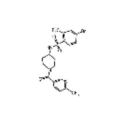 O=C(c1ccc(C(F)(F)F)nc1)N1CCC(NS(=O)(=O)c2ccc(Br)cc2C(F)(F)F)CC1